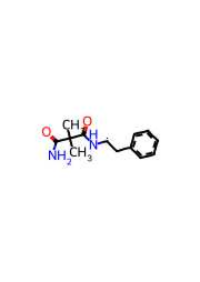 CC(C)(C(N)=O)C(=O)N[CH]Cc1ccccc1